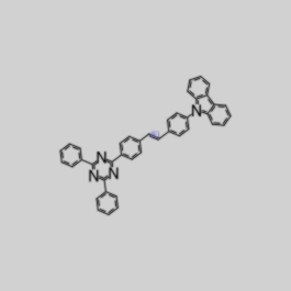 C(=C\c1ccc(-n2c3ccccc3c3ccccc32)cc1)/c1ccc(-c2nc(-c3ccccc3)nc(-c3ccccc3)n2)cc1